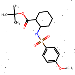 COc1ccc(S(=O)(=O)NC2CCCCC2C(=O)OC(C)(C)C)cc1